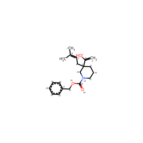 C=C(O)C1(CC=C(C)C)CCCN(C(=O)OCc2ccccc2)C1